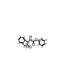 O=C(NC1c2ccccc2CC1O)Oc1ccccc1